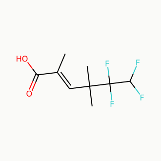 C/C(=C\C(C)(C)C(F)(F)C(F)F)C(=O)O